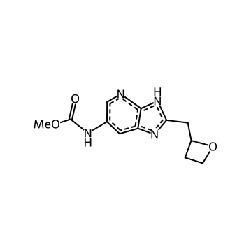 COC(=O)Nc1cnc2[nH]c(CC3CCO3)nc2c1